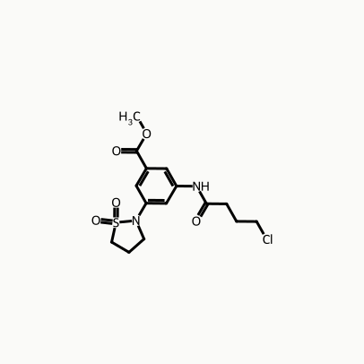 COC(=O)c1cc(NC(=O)CCCCl)cc(N2CCCS2(=O)=O)c1